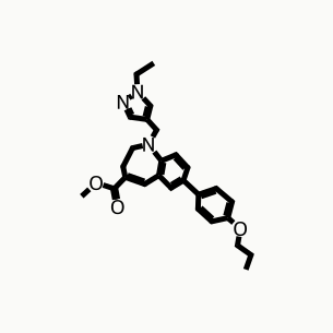 CCCOc1ccc(-c2ccc3c(c2)C=C(C(=O)OC)CCN3Cc2cnn(CC)c2)cc1